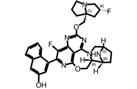 Oc1cc(-c2nc3c4c(nc(OC[C@@]56CCCN5C[C@H](F)C6)nc4c2F)N2C[C@@H]4CC[C@@H](N4)[C@@H]2CO3)c2ccccc2c1